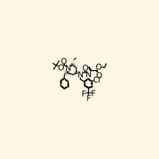 CCOC(=O)c1coc(N(Cc2cc(Cl)cc(C(F)(F)F)c2)[C@H]2C[C@@H](CC)N(C(=O)OC(C)(C)C)[C@@H](Cc3ccccc3)C2)n1